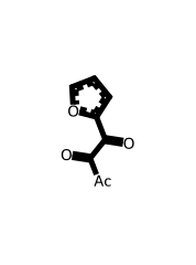 CC(=O)C(=O)C(=O)c1ccco1